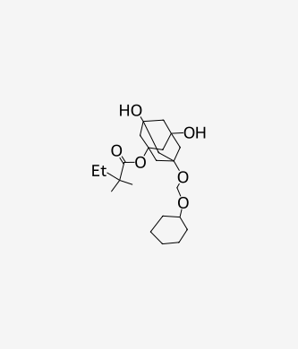 CCC(C)(C)C(=O)OC12CC3(O)CC(O)(CC(OCOC4CCCCC4)(C3)C1)C2